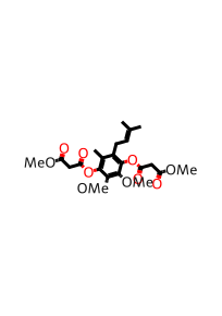 COC(=O)CC(=O)Oc1c(C)c(CC=C(C)C)c(OC(=O)CC(=O)OC)c(OC)c1OC